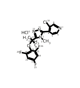 Cl.Cn1c(-c2ccncc2Cl)nnc1C(C)(C)Oc1c(F)cc(F)cc1F